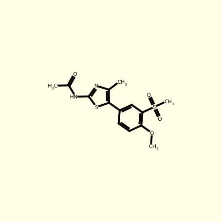 COc1ccc(-c2sc(NC(C)=O)nc2C)cc1S(C)(=O)=O